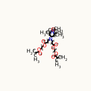 C=C(C)C(=O)OCCOC(=O)CCN(CCC(=O)OCCOC(=O)C(=C)C)C1CC(C)(C)N(OC)C(C)(C)C1